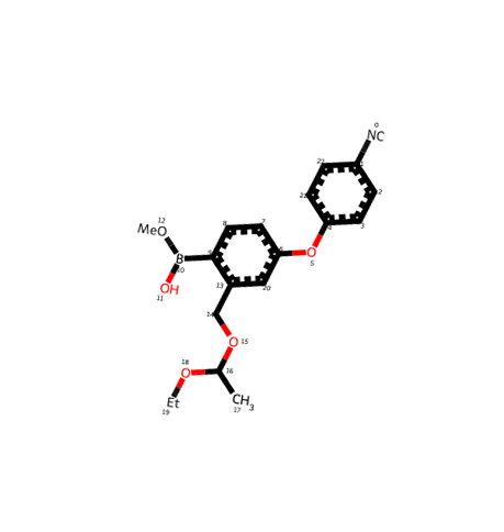 [C-]#[N+]c1ccc(Oc2ccc(B(O)OC)c(COC(C)OCC)c2)cc1